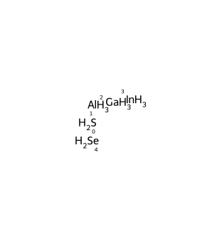 S.[AlH3].[GaH3].[InH3].[SeH2]